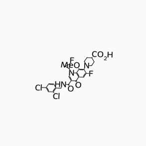 COc1c(N2CCC(C(=O)O)CC2)c(F)cc2c(=O)c(C(=O)NCc3ccc(Cl)cc3Cl)cn([C@H]3C[C@H]3F)c12